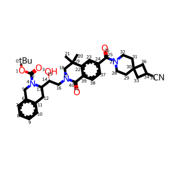 CC(C)(C)OC(=O)N1Cc2ccccc2CC1[C@H](O)CN1CC(C)(C)c2cc(C(=O)N3CCC4(CC3)CC(C#N)C4)ccc2C1=O